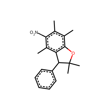 Cc1c(C)c([N+](=O)[O-])c(C)c2c1OC(C)(C)C2c1ccccc1